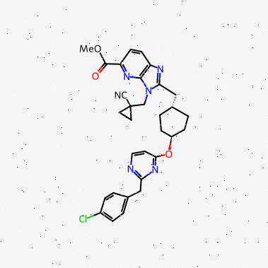 COC(=O)c1ccc2nc(C[C@H]3CC[C@H](Oc4ccnc(Cc5ccc(Cl)cc5)n4)CC3)n(CC3(C#N)CC3)c2n1